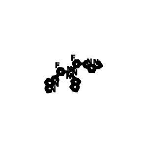 Fc1cc(-c2cnc3c(ccc4cccnc43)c2)cc(-c2nc(-c3cc(F)cc(-c4cnc5c(ccc6cccnc65)c4)c3)nc(-c3ccc4ccccc4c3)n2)c1